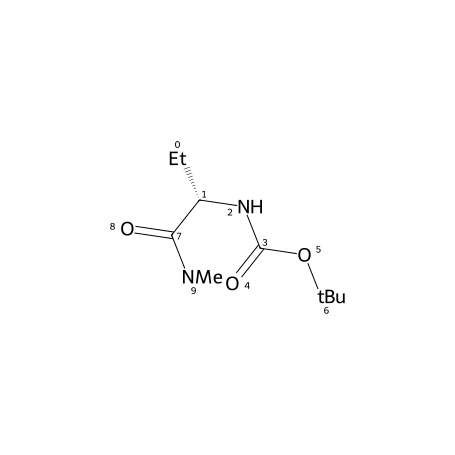 CC[C@H](NC(=O)OC(C)(C)C)C(=O)NC